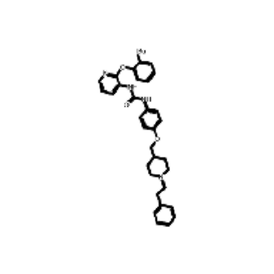 CC(C)(C)c1ccccc1Oc1ncccc1NC(=O)Nc1ccc(OCC2CCN(CCc3ccccc3)CC2)cc1